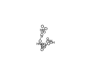 O=C(COc1ccccc1CNC[C@H](O)c1ccc(O)c2[nH]c(=O)ccc12)Nc1ccc(CCN2CCC(OC(=O)Nc3ccccc3-c3ccccc3)CC2)cc1